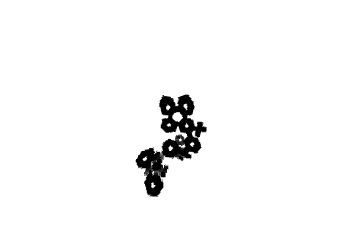 CC(C)(C)c1cc2c(cc1-c1cccc3c1Oc1ccc(-n4c5ccccc5n5c6ccccc6nc45)cc1[Si]3(C)C)-c1ccccc1-c1ccccc1-c1ccccc1-2